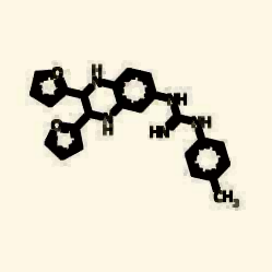 Cc1ccc(NC(=N)Nc2ccc3c(c2)NC(c2ccco2)C(c2ccco2)N3)cc1